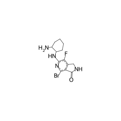 NC1CCCCC1Nc1nc(Br)c2c(c1F)CNC2=O